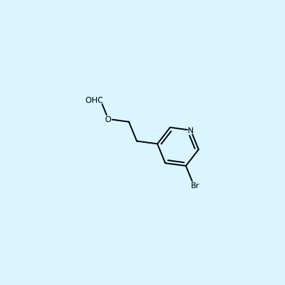 O=COCCc1cncc(Br)c1